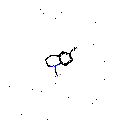 CC(=O)N1CC[CH]c2cc(C(C)C)ccc21